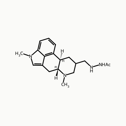 CC(=O)NNCC1C[C@@H]2c3cccc4c3c(cn4C)C[C@H]2N(C)C1